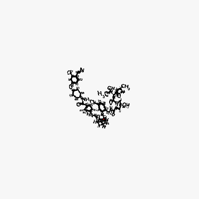 Cc1cc([C@@H](C(=O)N2C[C@H](O)C[C@H]2C(=O)NCc2ccc(Cl)cc2B2O[C@H]3C[C@H]4C[C@H](C4(C)C)[C@@]3(CCNc3ccc(C(=O)N[C@H]4CC[C@H](Oc5ccc(C#N)c(Cl)c5)CC4)cc3)O2)C(C)C)on1